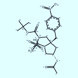 CC(=O)S[C@@H]1CN(C(=O)O)[C@](Cc2ccc([N+](=O)[O-])cc2)(CN(C(=O)OC(C)(C)C)S(N)(=O)=O)C1